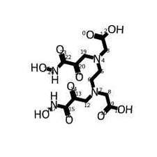 O=C(O)CN(CCN(CC(=O)O)CC(=O)C(=O)NO)CC(=O)C(=O)NO